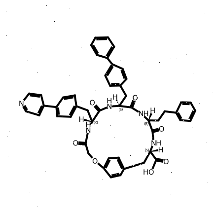 O=C1COc2ccc(cc2)C[C@@H](C(=O)O)NC(=O)[C@@H](CCc2ccccc2)NC(=O)[C@H](Cc2ccc(-c3ccccc3)cc2)NC(=O)[C@@H](Cc2ccc(-c3ccncc3)cc2)N1